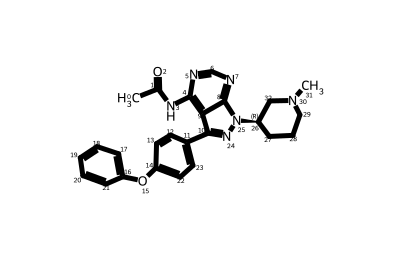 CC(=O)Nc1ncnc2c1c(-c1ccc(Oc3ccccc3)cc1)nn2[C@@H]1CCCN(C)C1